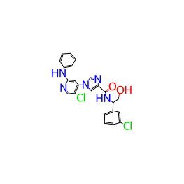 O=C(NC(CO)c1cccc(Cl)c1)c1cn(-c2cc(Nc3ccccc3)ncc2Cl)cn1